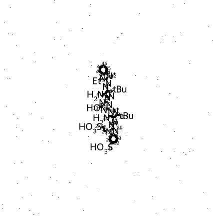 CCn1c(N=Nc2c(C(C)(C)C)nn(-c3nc(O)nc(-n4nc(C(C)(C)C)c(N=Nc5n(CCS(=O)(=O)O)c6cc(S(=O)(=O)O)ccc6[n+]5C)c4N)n3)c2N)[n+](C)c2ccccc21